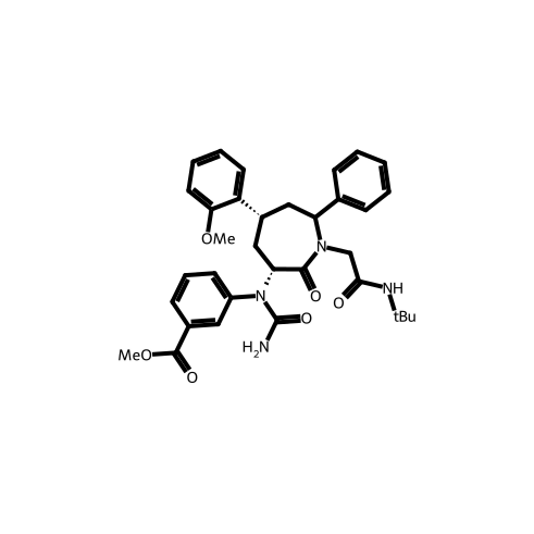 COC(=O)c1cccc(N(C(N)=O)[C@@H]2C[C@H](c3ccccc3OC)CC(c3ccccc3)N(CC(=O)NC(C)(C)C)C2=O)c1